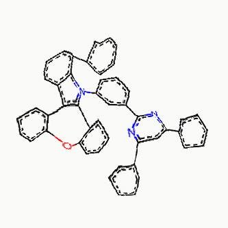 c1ccc(-c2cc(-c3ccccc3)nc(-c3cccc(-n4c5c(c6cccc(-c7ccccc7)c64)-c4ccccc4Oc4ccccc4-5)c3)n2)cc1